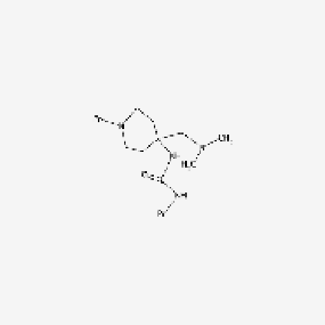 CC(C)NC(=O)NC1(CN(C)C)CCN(C(C)C)CC1